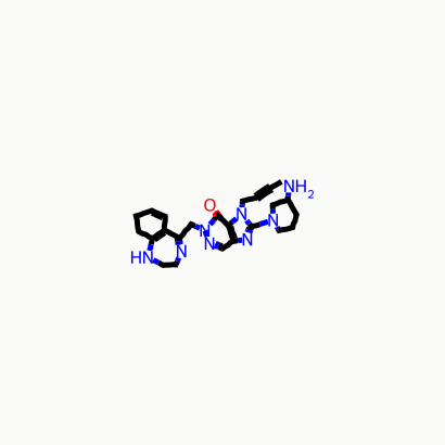 CC#CCn1c(N2CCCC(N)C2)nc2cnn(CC3=NCCNC4=C3C=CCC4)c(=O)c21